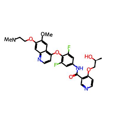 CNCCOc1cc2nccc(Oc3c(F)cc(NC(=O)c4cnccc4OC[C@H](C)O)cc3F)c2cc1OC